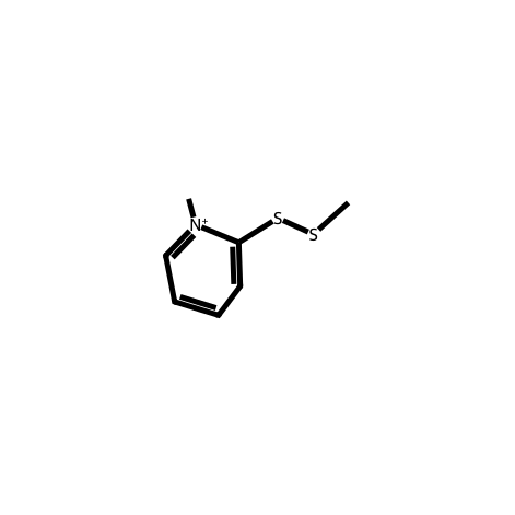 CSSc1cccc[n+]1C